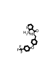 Nc1ncccc1C(=O)NCc1ccc(Oc2ccc(C(F)(F)F)cc2)cc1